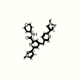 Cn1cc(-c2ccc(Cc3cc(C(=O)NC4CCOCC4)nc(-c4ccn(C)n4)c3)cn2)cn1